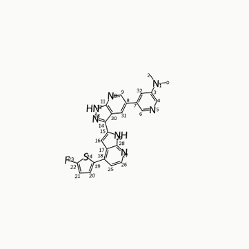 CN(C)c1cncc(-c2cnc3[nH]nc(-c4cc5c(-c6ccc(F)s6)ccnc5[nH]4)c3c2)c1